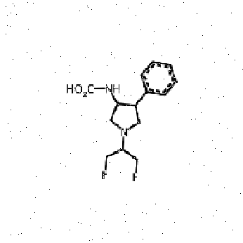 O=C(O)NC1CN(C(CF)CF)CC1c1ccccc1